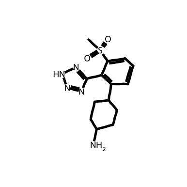 CS(=O)(=O)c1cccc(C2CCC(N)CC2)c1-c1nn[nH]n1